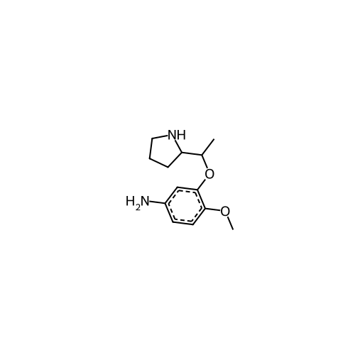 COc1ccc(N)cc1OC(C)C1CCCN1